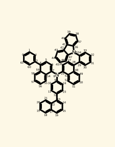 c1ccc(-c2ccc(N(c3ccc(-c4cccc5ccccc45)cc3)c3ccc(-c4ccccc4-n4c5ccccc5c5ccccc54)c4ccccc34)c3ccccc23)cc1